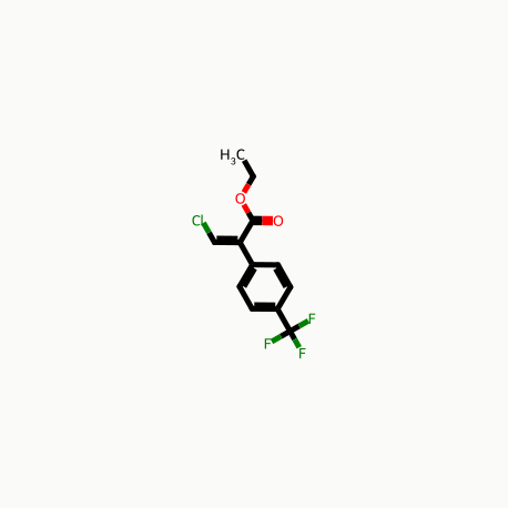 CCOC(=O)C(=CCl)c1ccc(C(F)(F)F)cc1